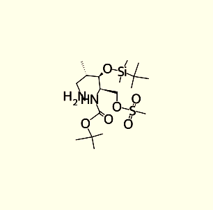 C[C@@H](CN)[C@@H](O[Si](C)(C)C(C)(C)C)[C@@H](COS(C)(=O)=O)NC(=O)OC(C)(C)C